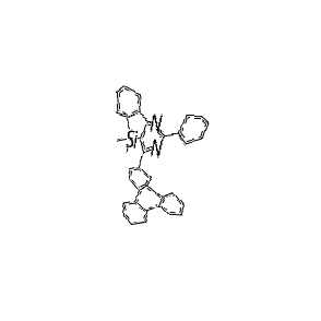 C[Si]1(C)c2ccccc2-c2nc(-c3ccccc3)nc(-c3ccc4c5ccccc5c5ccccc5c4c3)c21